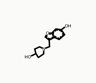 Oc1ccc2c(CN3CCC(O)CC3)coc2c1